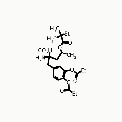 CCC(=O)Oc1ccc(CC(N)(C[C@H](C)OC(=O)C(C)(C)CC)C(=O)O)cc1OC(=O)CC